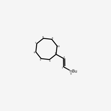 CCCC/C=C/C1CCCCCCC1